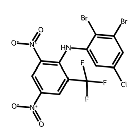 O=[N+]([O-])c1cc([N+](=O)[O-])c(Nc2cc(Cl)cc(Br)c2Br)c(C(F)(F)F)c1